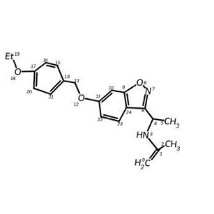 C=C(C)NC(C)c1noc2cc(OCc3ccc(OCC)cc3)ccc12